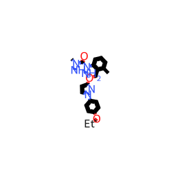 CCOc1ccc(-n2ccc(OCc3c(C)cccc3N(N)C(=O)N(C)N)n2)cc1